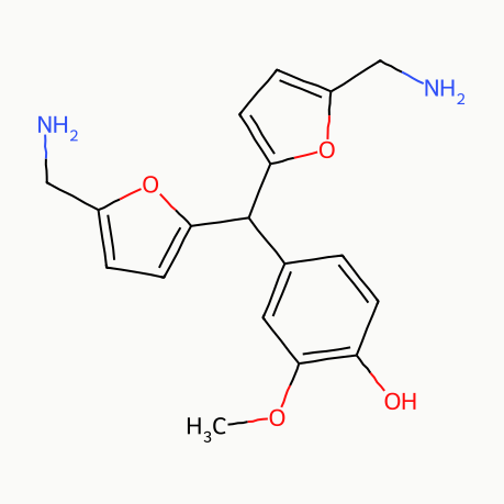 COc1cc(C(c2ccc(CN)o2)c2ccc(CN)o2)ccc1O